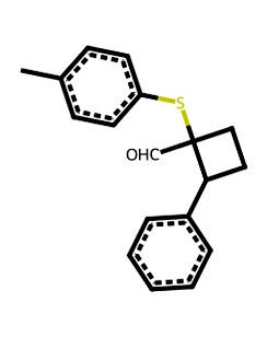 Cc1ccc(SC2(C=O)CCC2c2ccccc2)cc1